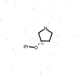 CC(C)O[C@H]1CC[N]C1